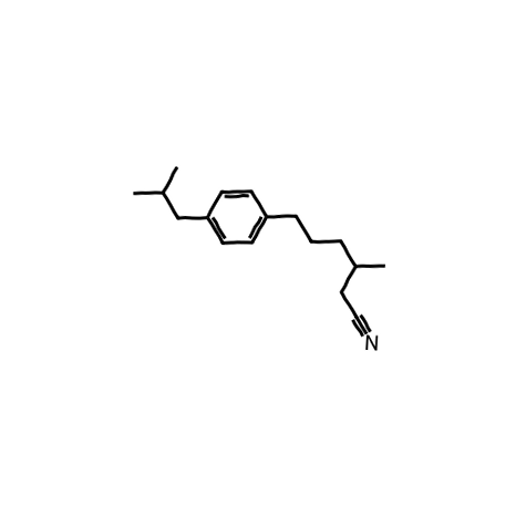 CC(C)Cc1ccc(CCCC(C)CC#N)cc1